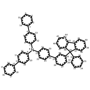 c1ccc(-c2ccc(N(c3ccc(-c4ccccc4)cc3)c3ccc(-c4cccc(C5(c6ccccc6)c6ccccc6-c6ncccc65)c4)cc3)cc2)cc1